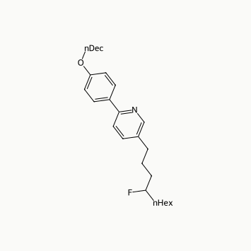 CCCCCCCCCCOc1ccc(-c2ccc(CCCC(F)CCCCCC)cn2)cc1